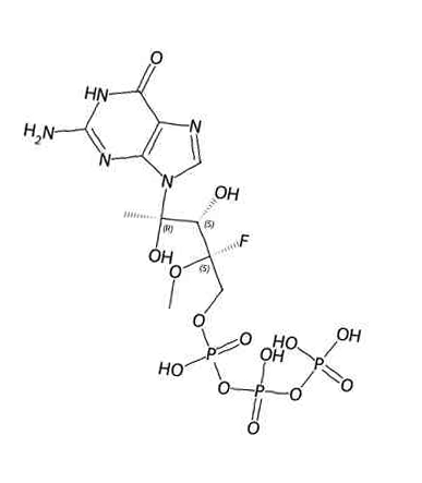 CO[C@](F)(COP(=O)(O)OP(=O)(O)OP(=O)(O)O)[C@@H](O)[C@@](C)(O)n1cnc2c(=O)[nH]c(N)nc21